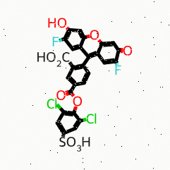 O=C(Oc1c(Cl)cc(S(=O)(=O)O)cc1Cl)c1ccc(-c2c3cc(F)c(=O)cc-3oc3cc(O)c(F)cc23)c(C(=O)O)c1